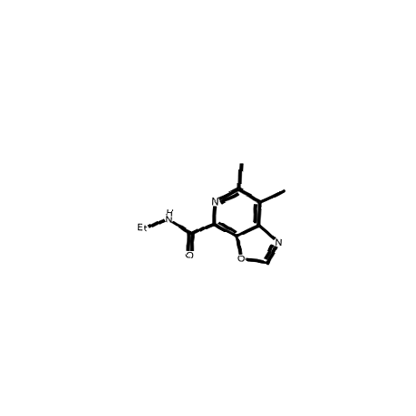 CCNC(=O)c1nc(C)c(C)c2ncoc12